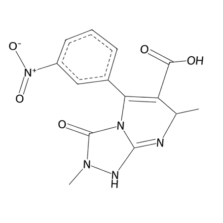 CC1N=C2NN(C)C(=O)N2C(c2cccc([N+](=O)[O-])c2)=C1C(=O)O